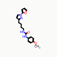 COc1ccc(NC(=O)NCCCCc2ccn(-c3ccco3)n2)cc1